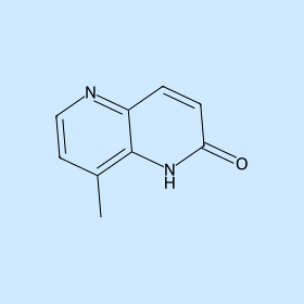 Cc1ccnc2ccc(=O)[nH]c12